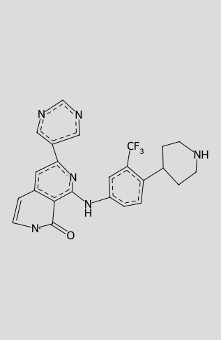 O=C1[N]C=Cc2cc(-c3cncnc3)nc(Nc3ccc(C4CCNCC4)c(C(F)(F)F)c3)c21